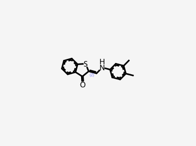 Cc1ccc(N/C=C2\Sc3ccccc3C2=O)cc1C